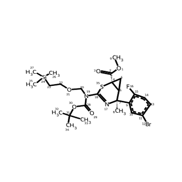 COC(=O)[C@]12CC1[C@@](C)(c1cc(Br)ccc1F)N=C(N(COCC[Si](C)(C)C)C(=O)OC(C)(C)C)S2